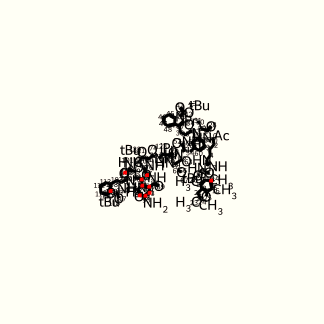 CC(=O)[C@H](CCCNC(=N)NS(=O)(=O)c1c(C)c(C)c2c(c1C)CC(C)(C)O2)NC(=O)[C@H](CC(C)C)NC(=O)C(Cc1cn(C(=O)OC(C)(C)C)c2ccccc12)NC(=O)[C@H](Cc1ccccc1)NC(=O)[C@H](COC(C)(C)C)NC(=O)[C@@H](NC(=O)[C@@H](NC(=O)[C@H](Cc1ccccc1)NC(=O)[C@H](CC(N)=O)NC(=O)[C@H](CC(N)=O)NC(=O)C(Cc1ccccc1)NC(=O)OC(C)(C)C)[C@@H](C)OC(C)(C)C)C(C)C